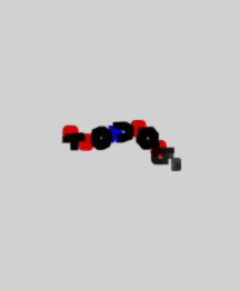 CC1(COc2ccc(N3CCC(Oc4ccc(OC(F)(F)F)cc4)CC3)cc2)CO1